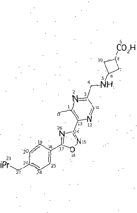 Cc1nc(CNC2CC(C(=O)O)C2)cnc1-c1noc(-c2ccc(CC(C)C)cc2)n1